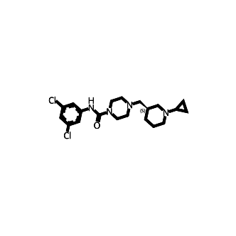 O=C(Nc1cc(Cl)cc(Cl)c1)N1CCN(C[C@@H]2CCCN(C3CC3)C2)CC1